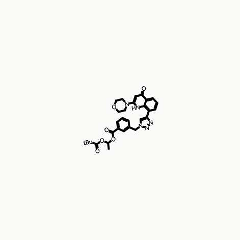 CC(OC(=O)c1cccc(Cn2cc(-c3cccc4c(=O)cc(N5CCOCC5)[nH]c34)nn2)c1)OC(=O)C(C)(C)C